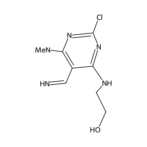 CNc1nc(Cl)nc(NCCO)c1C=N